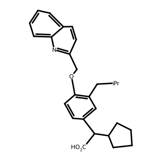 CC(C)Cc1cc(C(C(=O)O)C2CCCC2)ccc1OCc1ccc2ccccc2n1